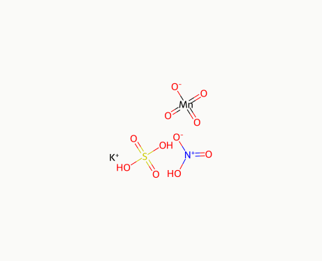 O=S(=O)(O)O.O=[N+]([O-])O.[K+].[O]=[Mn](=[O])(=[O])[O-]